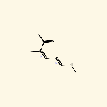 CN/C=C/C=C(/C)C(C)=S